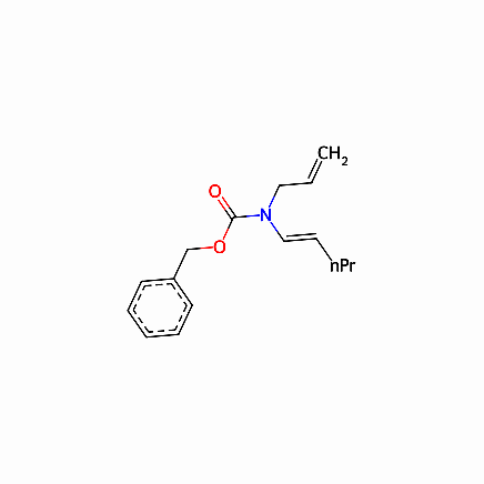 C=CCN(/C=C/CCC)C(=O)OCc1ccccc1